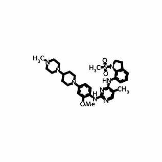 COc1cc(N2CCC(N3CCN(C)CC3)CC2)ccc1Nc1ncc(C)c(Nc2cccc3c2N(S(C)(=O)=O)CC3)n1